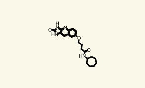 O=C(CCCOc1ccc2nc3[nH]c(=O)[nH]c3cc2c1)NC1CCCCCC1